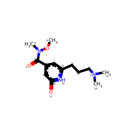 CON(C)C(=O)c1cc(CCCN(C)C)[nH]c(=O)c1